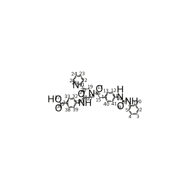 Cc1ccccc1NC(=O)Nc1ccc(CC(=O)N(CCc2ccccn2)CC(=O)Nc2ccc(C(=O)O)cc2)cc1